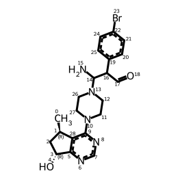 C[C@@H]1C[C@@H](O)c2ncnc(N3CCN(C(N)C(C=O)c4ccc(Br)cc4)CC3)c21